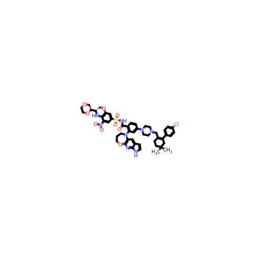 CC1(C)CCC(CN2CCN(c3ccc(C(=O)NS(=O)(=O)c4cc5c(c([N+](=O)[O-])c4)N[C@H]([C@@H]4COCCO4)CO5)c(N4CCCOc5nc6[nH]ccc6cc54)c3)CC2)=C(c2ccc(Cl)cc2)C1